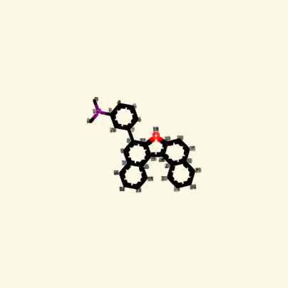 CP(C)c1cccc(-c2cc3ccccc3c3c2oc2ccc4ccccc4c23)c1